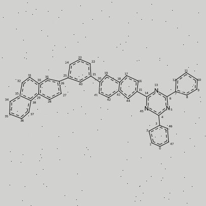 c1ccc(-c2nc(-c3ccccc3)nc(-c3ccc4cc(-c5cccc(-c6ccc7c(ccc8ccccc87)c6)c5)ccc4c3)n2)cc1